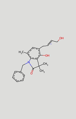 Cc1cc(C/C=C/CO)c(O)c2c1N(Cc1ccccc1)C(=O)C2(C)C